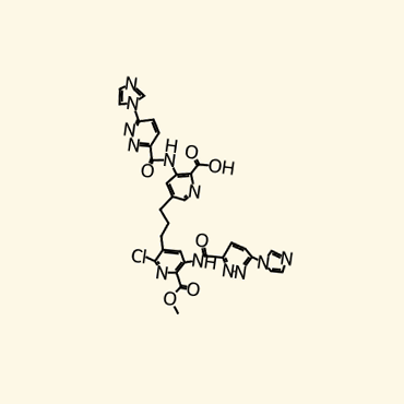 COC(=O)c1nc(Cl)c(CCCc2cnc(C(=O)O)c(NC(=O)c3ccc(-n4ccnc4)nn3)c2)cc1NC(=O)c1ccc(-n2ccnc2)nn1